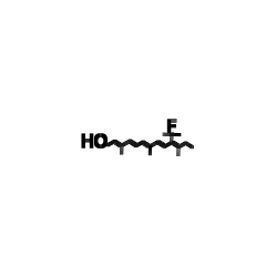 CC/C(C)=C(/C=C/C(C)=C/C=C/C(C)=C/CO)C(C)(C)F